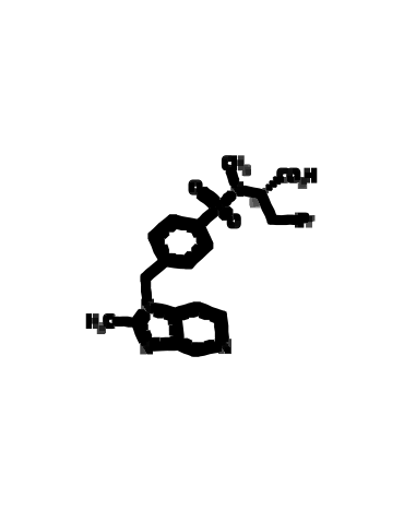 Cc1nc2cnccc2n1Cc1ccc(S(=O)(=O)N(C)[C@@H](CC(C)C)C(=O)O)cc1